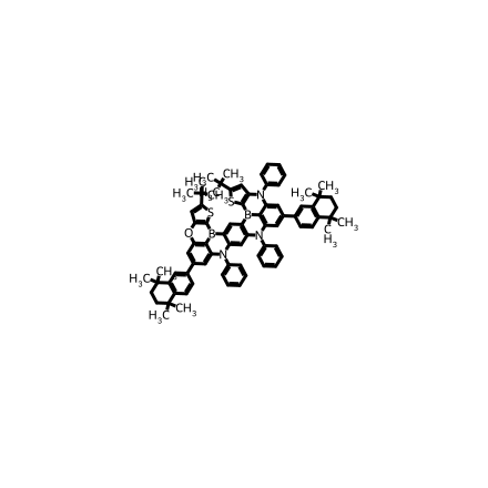 CC(C)(C)c1cc2c(s1)B1c3cc4c(cc3N(c3ccccc3)c3cc(-c5ccc6c(c5)C(C)(C)CCC6(C)C)cc(c31)O2)N(c1ccccc1)c1cc(-c2ccc3c(c2)C(C)(C)CCC3(C)C)cc2c1B4c1sc(C(C)(C)C)cc1N2c1ccccc1